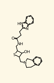 O=C(CCc1nc2ccccc2[nH]1)NCC1SC(CN2CCc3ccccc3C2)C1O